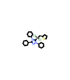 [Cl][Ru]([Cl])(=[CH]c1cccs1)=[c]1n(-c2ccccc2)nc(-c2ccccc2)n1-c1ccccc1